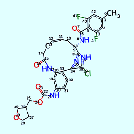 Cc1cc(F)c(C(=O)N[C@H]2CC=CCCC(=O)Nc3cc(NC(=O)OCC4CCOC4)ccc3-c3nc2[nH]c3Cl)c(F)c1